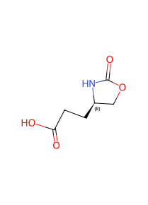 O=C(O)CC[C@@H]1COC(=O)N1